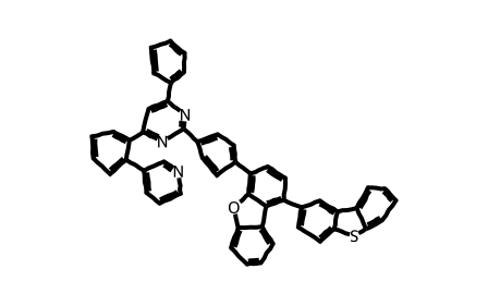 c1ccc(-c2cc(-c3ccccc3-c3cccnc3)nc(-c3ccc(-c4ccc(-c5ccc6sc7ccccc7c6c5)c5c4oc4ccccc45)cc3)n2)cc1